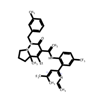 C=C/N=C(\C=C(/C)C(F)(F)F)c1cc(C(F)(F)F)ccc1NC(=C)C1=C(CC)C2(C)CCCN2N(Cc2cccc(C)c2)C1=O